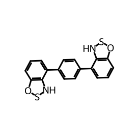 c1cc2c(c(-c3ccc(-c4cccc5c4NSO5)cc3)c1)NSO2